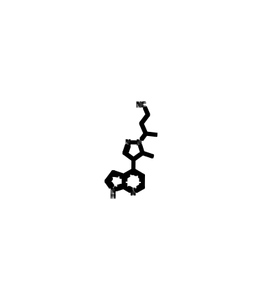 CC(CCC#N)N1N=CC(c2ccnc3[nH]ccc23)C1C